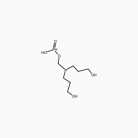 O=[PH](O)OCN(CCCO)CCCO